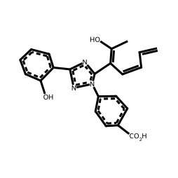 C=C/C=C\C(=C(/C)O)c1nc(-c2ccccc2O)nn1-c1ccc(C(=O)O)cc1